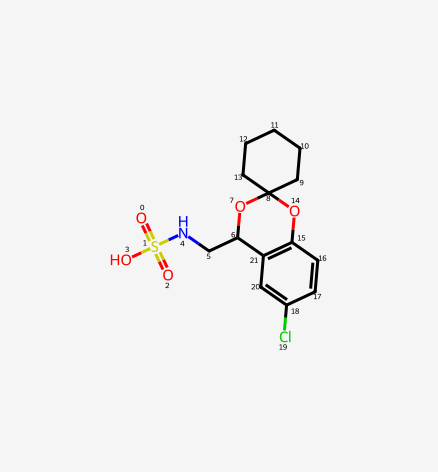 O=S(=O)(O)NCC1OC2(CCCCC2)Oc2ccc(Cl)cc21